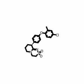 Cc1cc(Cl)ccc1Oc1ccc([C@@H]2CCCN3CCS(=O)(=O)N=C23)cc1